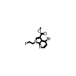 COC(=O)c1cn(CCF)c2nccc(Br)c12